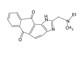 CCN(C)Cc1nc2ccc3c(c2[nH]1)C(=O)c1ccccc1C3=O